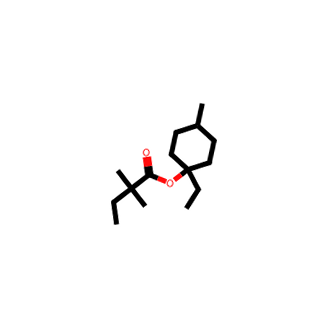 CCC1(OC(=O)C(C)(C)CC)CCC(C)CC1